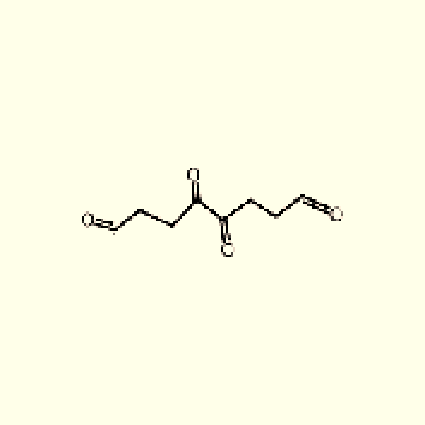 O=[C]CCC(=O)C(=O)CC[C]=O